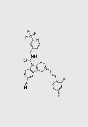 N#Cc1ccc2c(c1)c1c(n2C(=O)NCc2ccnc(C(F)(F)F)c2)CCN(CC=Cc2ccc(F)cc2F)C1